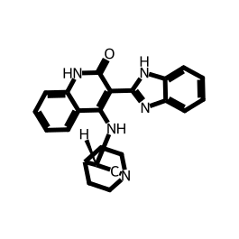 O=c1[nH]c2ccccc2c(N[C@@H]2CN3CCC2CC3)c1-c1nc2ccccc2[nH]1